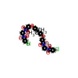 CC(C)(c1ccc(Oc2ccc3c(c2)C(=O)N(c2cccc(N4C(=O)c5ccc(Cl)cc5C4=O)c2)C3=O)cc1)c1ccc(Oc2ccc3c(c2)C(=O)N(c2cccc(N4C(=O)c5ccc(Cl)cc5C4=O)c2)C3=O)cc1